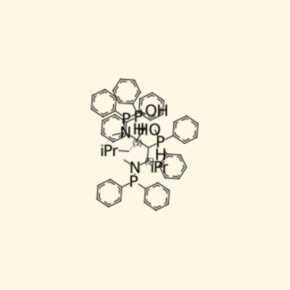 CC(C)C[C@](C[PH](O)(c1ccccc1)c1ccccc1)(C([C@H](C(C)C)N(C)P(c1ccccc1)c1ccccc1)[PH](O)(c1ccccc1)c1ccccc1)N(C)P(c1ccccc1)c1ccccc1